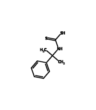 CC(C)(NC(=S)S)c1ccccc1